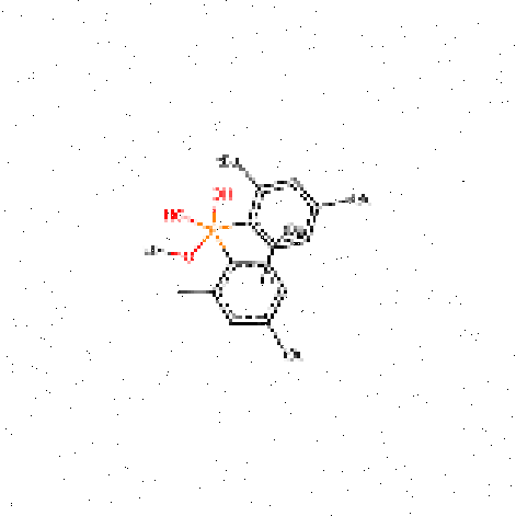 CCOP(O)(O)(c1c(C)cc(C(C)(C)C)cc1C(C)(C)C)c1c(C)cc(C(C)(C)C)cc1C(C)(C)C